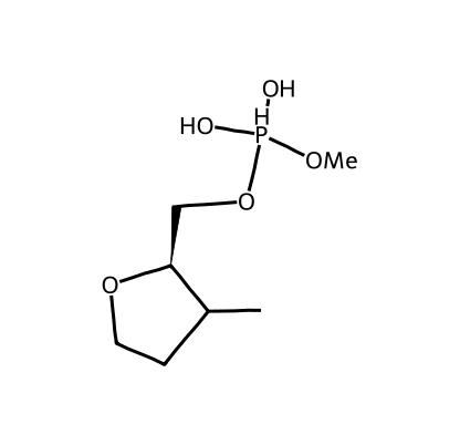 CO[PH](O)(O)OC[C@@H]1OCCC1C